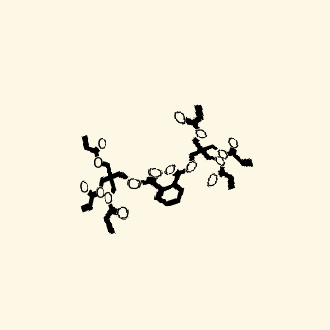 C=CC(=O)OCC(COC(=O)C=C)(COC(=O)C=C)COC(=O)C1CC=CCC1C(=O)OCC(COC(=O)C=C)(COC(=O)C=C)COC(=O)C=C